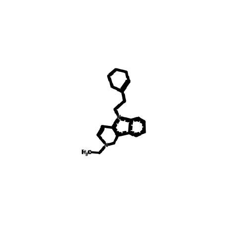 CCN1C=Cc2c(c3ccccc3n2CCC2=CCCCC2)C1